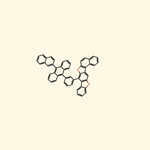 c1cc(-c2c3ccccc3c(-c3ccc4ccccc4c3)c3ccccc23)cc(-c2c3sc4ccc5ccccc5c4c3cc3sc4ccccc4c23)c1